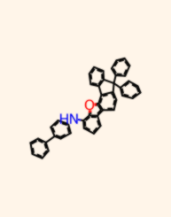 c1ccc(-c2ccc(Nc3cccc4c3oc3c5c(ccc34)C(c3ccccc3)(c3ccccc3)c3ccccc3-5)cc2)cc1